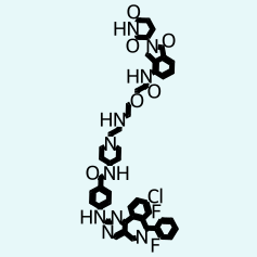 O=C1CCC(N2Cc3c(NC(=O)COCCNCCN4CCC(NC(=O)c5ccc(Nc6ncc7c(n6)-c6ccc(Cl)cc6C(c6c(F)cccc6F)=NC7)cc5)CC4)cccc3C2=O)C(=O)N1